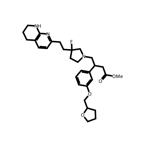 COC(=O)CC(CN1CCC(F)(CCc2ccc3c(n2)NCCC3)C1)c1cccc(OCC2CCCO2)c1